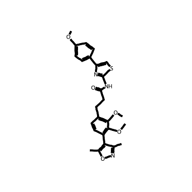 COc1ccc(-c2csc(NC(=O)CCc3ccc(-c4c(C)noc4C)c(OC)c3OC)n2)cc1